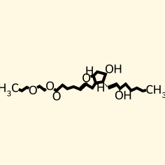 CCCCC[C@H](O)/C=C/[C@@H]1[C@H]2C/C(=C/CCCC(=O)OCCOCCC)O[C@@H]2C[C@H]1O